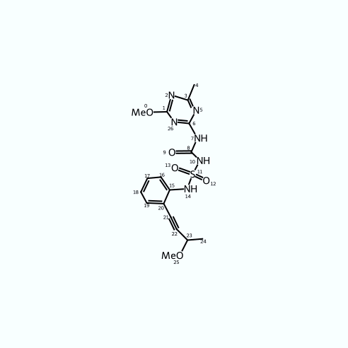 COc1nc(C)nc(NC(=O)NS(=O)(=O)Nc2ccccc2C#CC(C)OC)n1